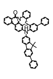 CC1(C)c2cc(-c3ccccc3)ccc2-c2ccc(N3c4ccc(-c5ccccc5)cc4[SH]4c5ccccc5-n5c(=O)c6ccccc6c6ccc3c4c65)cc21